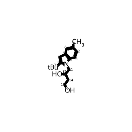 Cc1ccc2c(c1)cc(C(C)(C)C)n2CC(O)CCO